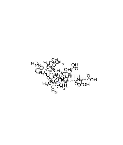 C/C(=C\[C@H](C(C)C)N(C)C(=O)[C@@H](NC(=O)[C@@H](N(C)C(=O)OC(C)(C)C)C(C)(C)c1cn(C)c2ccccc12)C(C)(C)C)C(=O)N[C@@H](CCC(=O)N[C@@H](CCC(=O)O)C(=O)O)C(=O)N[C@@H](CCC(=O)O)C(=O)O